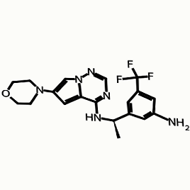 C[C@@H](Nc1ncnn2cc(N3CCOCC3)cc12)c1cc(N)cc(C(F)(F)F)c1